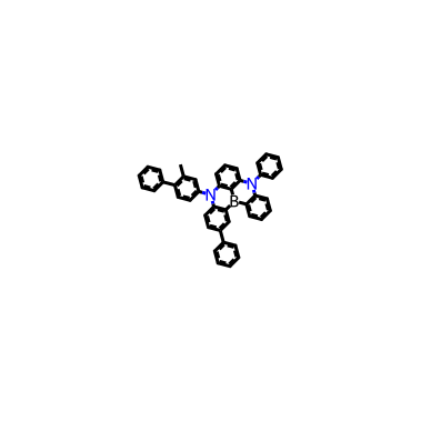 Cc1cc(N2c3ccc(-c4ccccc4)cc3B3c4ccccc4N(c4ccccc4)c4cccc2c43)ccc1-c1ccccc1